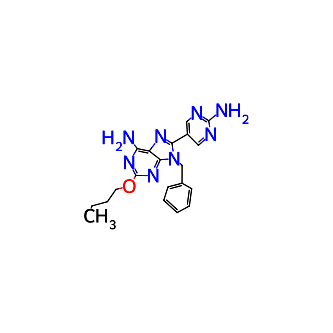 CCCCOc1nc(N)c2nc(-c3cnc(N)nc3)n(Cc3ccccc3)c2n1